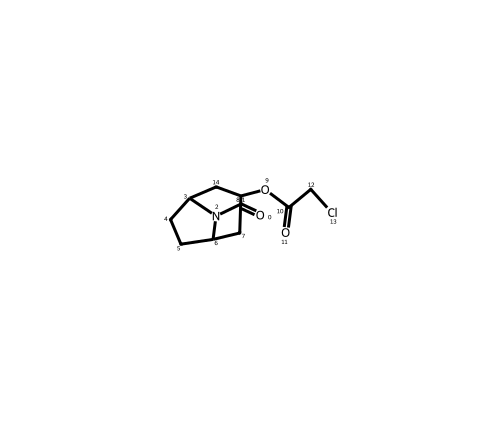 O=CN1C2CCC1CC(OC(=O)CCl)C2